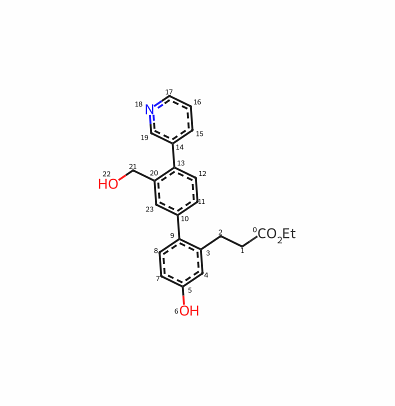 CCOC(=O)CCc1cc(O)ccc1-c1ccc(-c2cccnc2)c(CO)c1